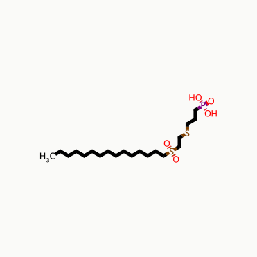 CCCCCCCCCCCCCCCS(=O)(=O)CCSCCCP(=O)(O)O